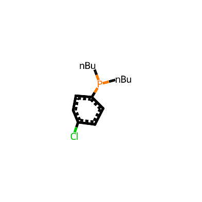 CCCCP(CCCC)c1ccc(Cl)cc1